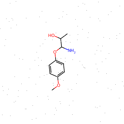 COc1ccc(OC(N)C(C)O)cc1